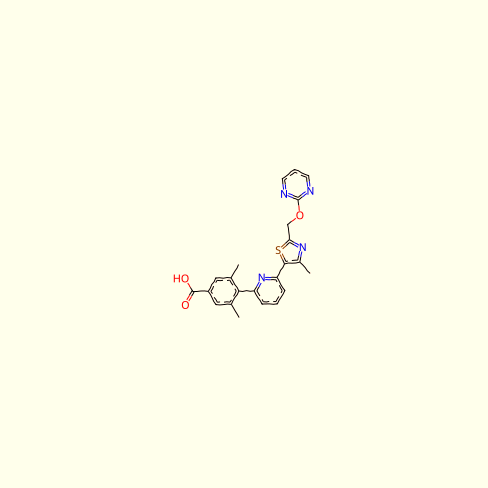 Cc1cc(C(=O)O)cc(C)c1-c1cccc(-c2sc(COc3ncccn3)nc2C)n1